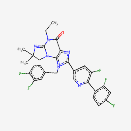 CCN1C(=O)c2nc(-c3cnc(-c4ccc(F)cc4F)c(F)c3)n(Cc3ccc(F)c(F)c3)c2N2CC(C)(C)N=C12